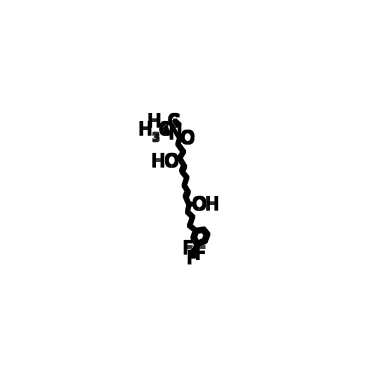 CCN(CC)C(=O)CCC(O)/C=C/CC/C=C/C(O)CCCc1cccc(C(F)(F)F)c1